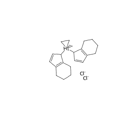 C1=C[CH]([Hf+2]2([CH]3C=CC4=C3CCCC4)[CH2][CH2]2)C2=C1CCCC2.[Cl-].[Cl-]